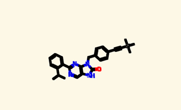 CC(C)c1ccccc1-c1ncc2[nH]c(=O)n(Cc3ccc(C#C[Si](C)(C)C)cc3)c2n1